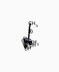 CCCCCCCC(=O)CCCCCC/C=C/[C@H](C(=O)N[C@@H](Cc1ccc(O)cc1)C(=O)OC)[C@@](O)(CCO)C(=O)OC